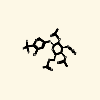 CC(=O)OC[C@H]1O[C@H](Sc2cnc(C(F)(F)F)c(Cl)c2)[C@H](OC(C)=O)[C@@H](N=[N+]=[N-])[C@H]1OC(C)=O